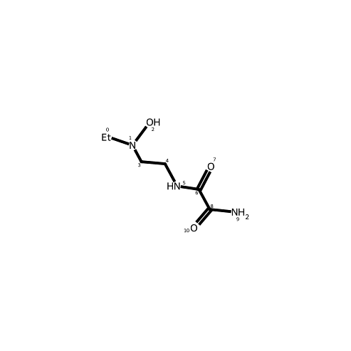 CCN(O)CCNC(=O)C(N)=O